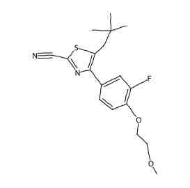 COCCOc1ccc(-c2nc(C#N)sc2CC(C)(C)C)cc1F